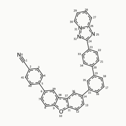 N#Cc1ccc(-c2ccc3oc4ccc(-c5cccc(-c6ccc(-c7nc8ccccn8n7)cc6)c5)cc4c3c2)cc1